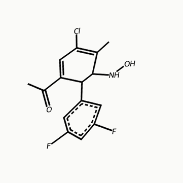 CC(=O)C1=CC(Cl)=C(C)C(NO)C1c1cc(F)cc(F)c1